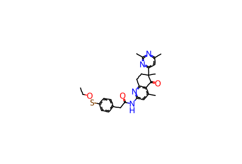 CCOSc1ccc(CC(=O)Nc2cc(C)c3c(n2)CCC(C)(c2cc(C)nc(C)n2)C3=O)cc1